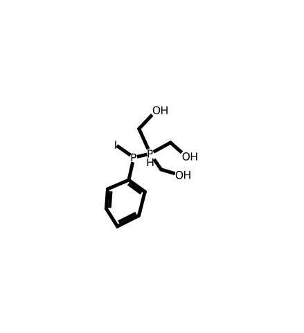 OC[PH](CO)(CO)P(I)c1ccccc1